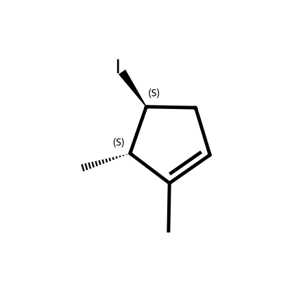 CC1=CC[C@H](I)[C@H]1C